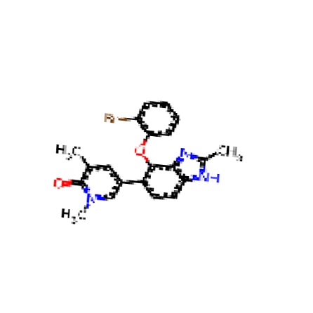 Cc1nc2c(Oc3ccccc3Br)c(-c3cc(C)c(=O)n(C)c3)ccc2[nH]1